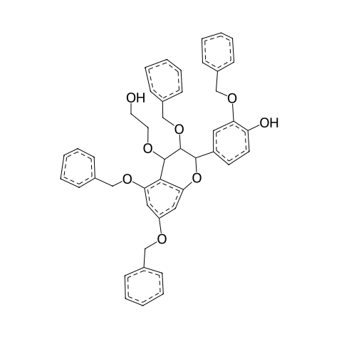 OCCOC1c2c(OCc3ccccc3)cc(OCc3ccccc3)cc2OC(c2ccc(O)c(OCc3ccccc3)c2)C1OCc1ccccc1